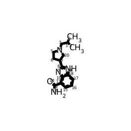 CC(C)CN1CCC(c2nc3c(C(N)=O)cccc3[nH]2)C1